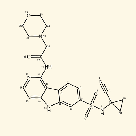 N#CC1(NS(=O)(=O)c2ccc3c(c2)[nH]c2ncnc(NC(=O)CN4CCOCC4)c23)CC1